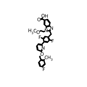 COCCn1c(Cc2cc(F)c(-c3cccc(OCc4ccc(F)cc4C)n3)cc2F)nc2ccc(C(=O)O)cc21